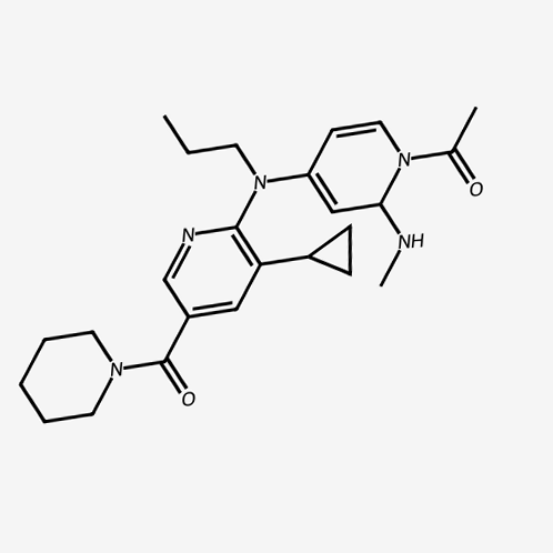 CCCN(C1=CC(NC)N(C(C)=O)C=C1)c1ncc(C(=O)N2CCCCC2)cc1C1CC1